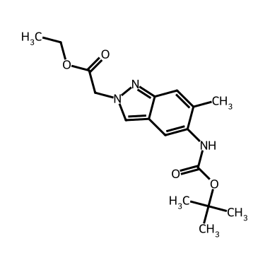 CCOC(=O)Cn1cc2cc(NC(=O)OC(C)(C)C)c(C)cc2n1